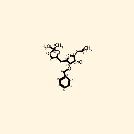 C=CC[C@@H]1OC(CC2COC(C)(C)O2)[C@H](OCc2ccccc2)[C@H]1O